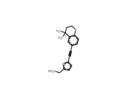 CC1(C)CCSc2ccc(C#Cc3ccc(CC(=O)O)o3)cc21